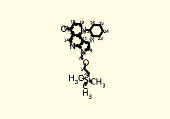 C[Si](C)(C)CCOCn1ccc2c1ncc1c(=O)ccn(C3CCCCC3)c12